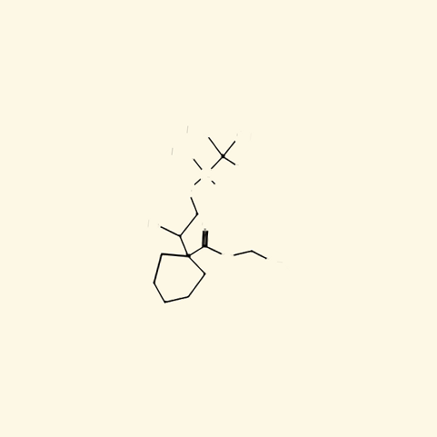 CCOC(=O)C1(C(O)CO[Si](C)(C)C(C)(C)C)CCCCC1